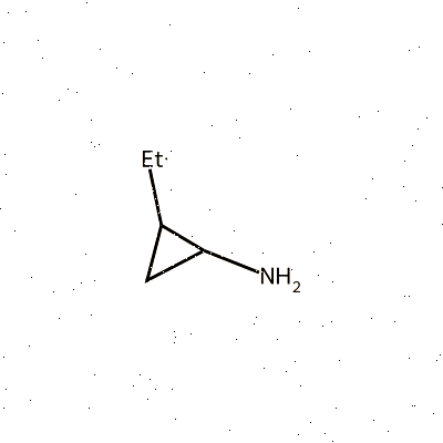 C[CH]C1CC1N